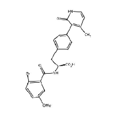 COc1ccc(Br)c(C(=O)N[C@@H](Cc2ccc(-c3c(C)cc[nH]c3=O)cc2)C(=O)O)c1